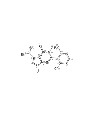 CCC(CC)c1cc(C)n2nc(-c3c(Cl)cccc3C(F)(F)F)n(C)c(=O)c12